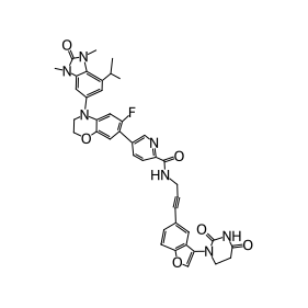 CC(C)c1cc(N2CCOc3cc(-c4ccc(C(=O)NCC#Cc5ccc6occ(N7CCC(=O)NC7=O)c6c5)nc4)c(F)cc32)cc2c1n(C)c(=O)n2C